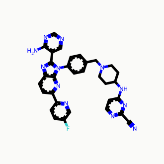 N#Cc1nccc(NC2CCN(Cc3ccc(-n4c(-c5cncnc5N)nc5ccc(-c6ccc(F)cn6)nc54)cc3)CC2)n1